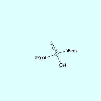 CCCCC[SH](O)(=S)CCCCC